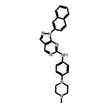 CN1CCN(c2ccc(Nc3ncc4cnn(-c5ccc6ccccc6c5)c4n3)cc2)CC1